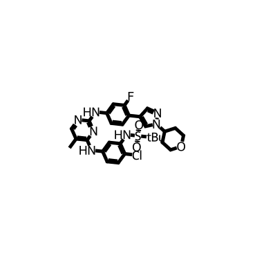 Cc1cnc(Nc2ccc(-c3cnn(C4CCOCC4)c3)c(F)c2)nc1Nc1ccc(Cl)c(NS(=O)(=O)C(C)(C)C)c1